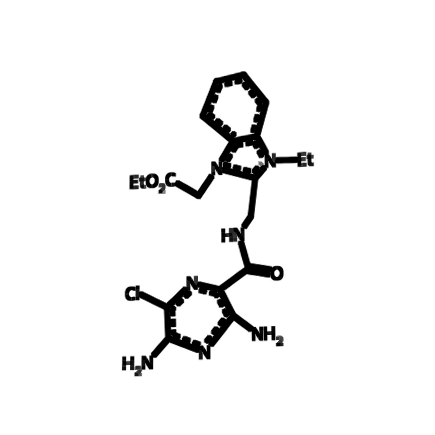 CCOC(=O)C[n+]1c(CNC(=O)c2nc(Cl)c(N)nc2N)n(CC)c2ccccc21